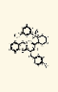 CC(=O)c1ccc(C[C@H](NC(=O)C2CCCCN2S(=O)(=O)c2cccc(C(F)(F)F)c2)C(=O)OCc2ccccc2)cc1